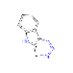 c1ccc2c(c1)[nH]c1cnnnc12